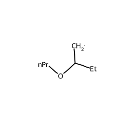 [CH2]CC([CH2])OCCC